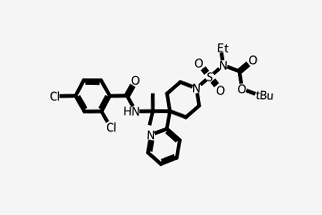 CCN(C(=O)OC(C)(C)C)S(=O)(=O)N1CCC(c2ccccn2)(C(C)(C)NC(=O)c2ccc(Cl)cc2Cl)CC1